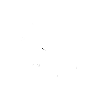 CC(=O)NC1[C@@H](OC[C@H](N)C(=O)O)OC(CO)C(O)[C@@H]1O